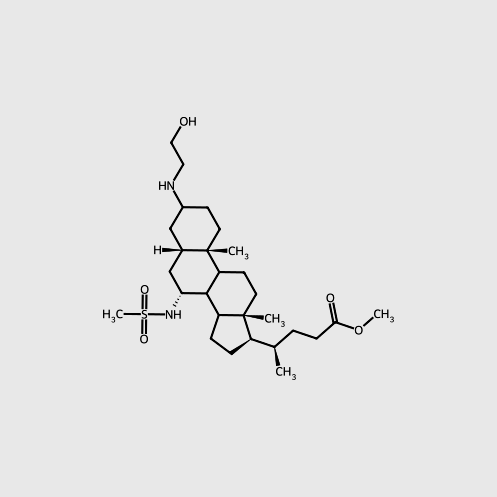 COC(=O)CC[C@@H](C)[C@H]1CCC2C3C(CC[C@@]21C)[C@@]1(C)CCC(NCCO)C[C@H]1C[C@H]3NS(C)(=O)=O